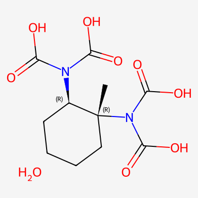 C[C@@]1(N(C(=O)O)C(=O)O)CCCC[C@H]1N(C(=O)O)C(=O)O.O